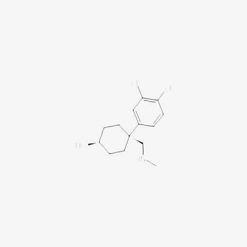 CNC[C@]1(c2ccc(Cl)c(Cl)c2)CC[C@H](O)CC1